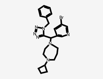 Brc1cncc(C(c2nnnn2Cc2ccccc2)N2CCCN(C3CCC3)CC2)c1